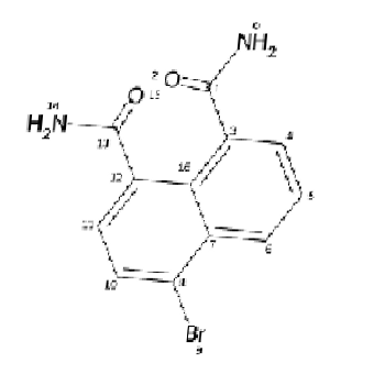 NC(=O)c1cccc2c(Br)ccc(C(N)=O)c12